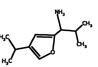 CC(C)c1coc(C(N)C(C)C)c1